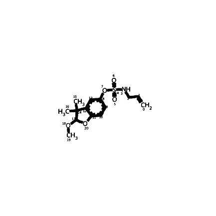 C=CCNS(=O)(=O)Oc1ccc2c(c1)C(C)(C)C(OC)O2